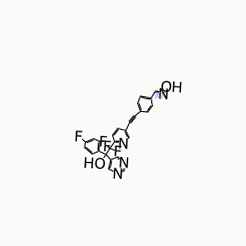 O/N=C/c1ccc(C#Cc2ccc(C(F)(F)C(O)(c3cncnc3)c3ccc(F)cc3F)nc2)cc1